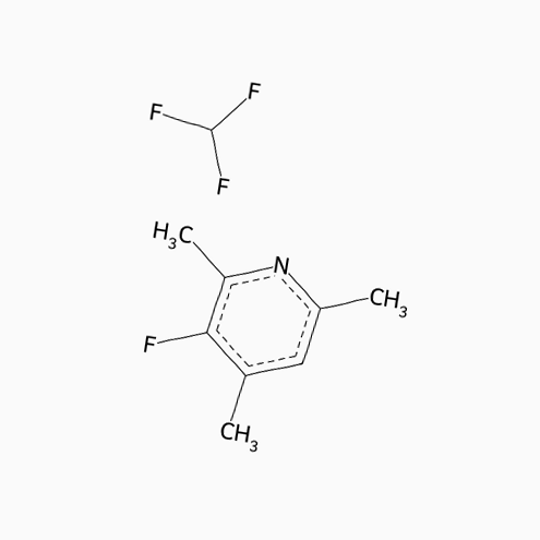 Cc1cc(C)c(F)c(C)n1.FC(F)F